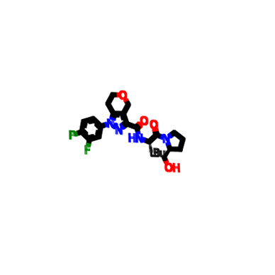 CC(C)(C)[C@H](NC(=O)c1nn(-c2ccc(F)c(F)c2)c2c1COCC2)C(=O)N1CCC[C@H]1CO